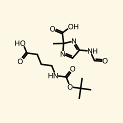 CC(C)(C)OC(=O)NCCCC(=O)O.CC1(C(=O)O)N=CC(NC=O)=N1